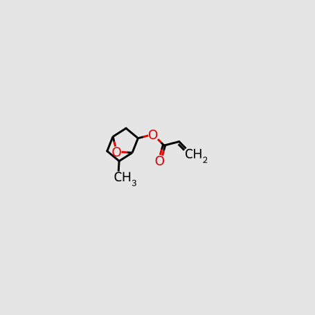 C=CC(=O)OC1CC2CC(C)C1O2